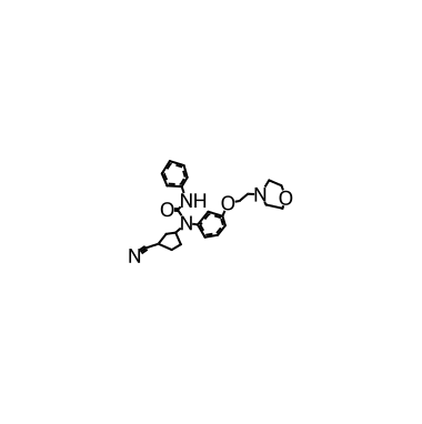 N#CC1CCC(N(C(=O)Nc2ccccc2)c2cccc(OCCN3CCOCC3)c2)C1